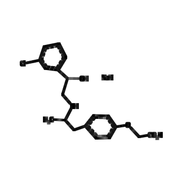 CC(Cc1ccc(OCC(=O)O)cc1)NCC(O)c1cccc(Cl)c1.[NaH]